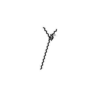 CCCCCCCCCCCCCCCCCCCn1cc[n+](CCCCC)c1CCCCCCC